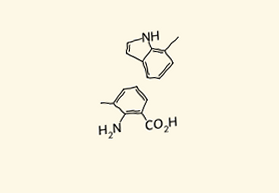 Cc1cccc(C(=O)O)c1N.Cc1cccc2cc[nH]c12